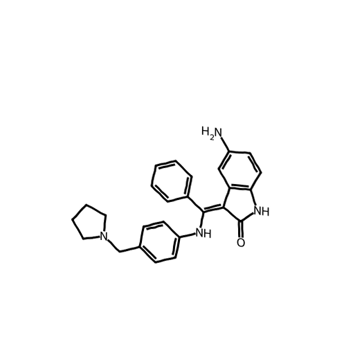 Nc1ccc2c(c1)/C(=C(/Nc1ccc(CN3CCCC3)cc1)c1ccccc1)C(=O)N2